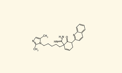 Cc1cnc(C)n1CCCCCC1(C(=N)N)C=CCC(c2ccc3ccccc3n2)C1=O